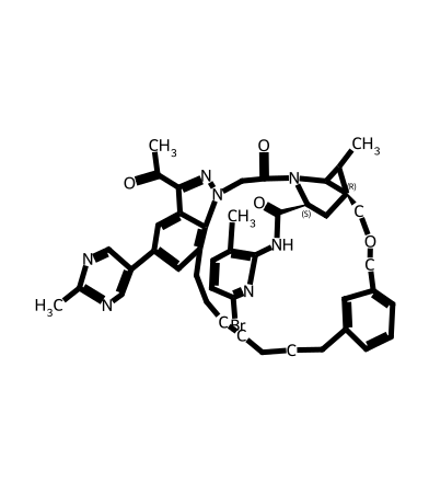 CC(=O)c1nn2c3c(cc(-c4cnc(C)nc4)cc13)CCCCCCCc1cccc(c1)COC[C@@]13C[C@@H](C(=O)Nc4nc(Br)ccc4C)N(C(=O)C2)C1C3C